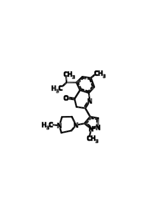 Cc1cc2c(c(C(C)C)c1)C(=O)CC(c1cnn(C)c1N1CCN(C)CC1)=N2